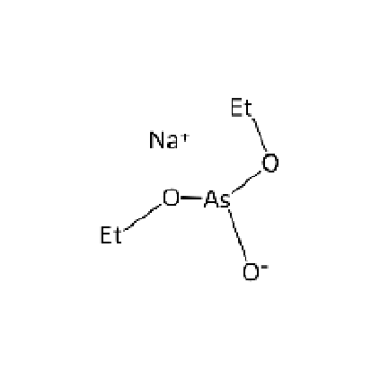 CCO[As]([O-])OCC.[Na+]